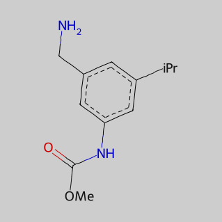 COC(=O)Nc1cc(CN)cc(C(C)C)c1